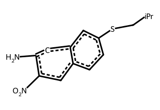 CC(C)CSc1ccc2cc([N+](=O)[O-])c(N)cc2c1